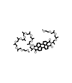 COCCOCC(C)OCC(C)OCC(C)OCC(C)OCC(C)OCC(C)OCC(C)OCC(C)OCC(C)N1C(=O)c2ccc3c4ccc5c6c(ccc(c7ccc(c2c37)C1=O)c64)C(=O)N(C(C)COC(C)COC(C)COCCOC)C5=O